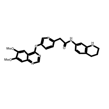 COc1cc2ncnc(Oc3ccc(CC(=O)Nc4ccc5c(c4)NCCC5)nc3)c2cc1OC